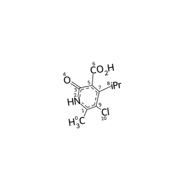 Cc1[nH]c(=O)c(C(=O)O)c(C(C)C)c1Cl